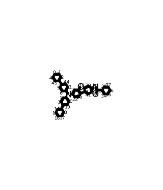 c1ccc(-c2ccc(N(c3ccc(-c4ccccc4)cc3)c3ccc4c(c3)oc3cc5nc(-c6ccccc6)oc5cc34)cc2)cc1